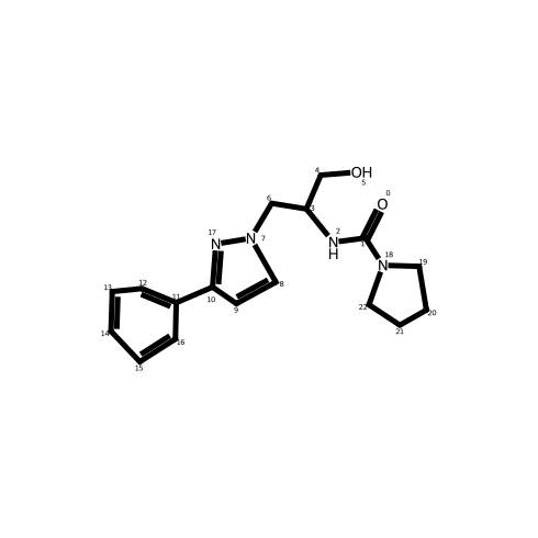 O=C(NC(CO)Cn1ccc(-c2ccccc2)n1)N1CCCC1